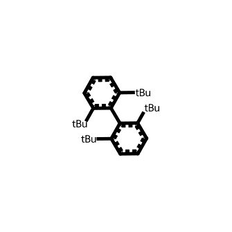 CC(C)(C)c1cccc(C(C)(C)C)c1-c1c(C(C)(C)C)cccc1C(C)(C)C